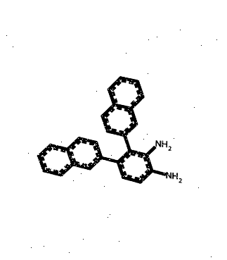 Nc1ccc(-c2ccc3ccccc3c2)c(-c2ccc3ccccc3c2)c1N